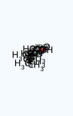 CC[C@@]1(OC(=O)C(C)(C)C)CC[C@]2(O)[C@]1(C)CC[C@@H]1[C@@]3(CO)CCC(=O)C=C3C=C[C@]12O